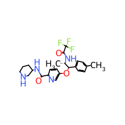 Cc1ccc([C@@H](Oc2ccc(C(=O)N[C@@H]3CCCNC3)nc2)[C@H](C)NC(=O)C(F)(F)F)cc1